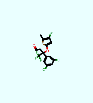 Cc1sc(OC(CC=O)(c2cc(Cl)cc(Cl)c2)C(F)(F)F)cc1Br